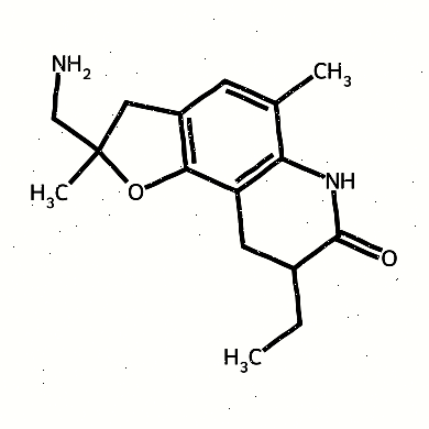 CCC1Cc2c(c(C)cc3c2OC(C)(CN)C3)NC1=O